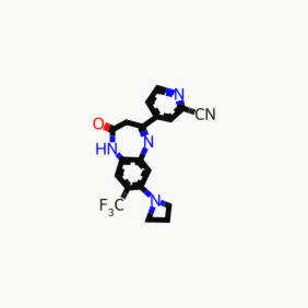 N#Cc1cc(C2=Nc3cc(N4CCC4)c(C(F)(F)F)cc3NC(=O)C2)ccn1